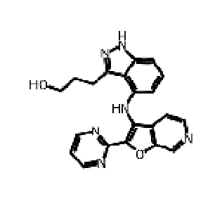 OCCCc1n[nH]c2cccc(Nc3c(-c4ncccn4)oc4cnccc34)c12